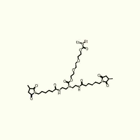 CCN(CC)C(=O)OCCOCCOCCOC(=O)N(CCNC(=O)CCCCCN1C(=O)CC(C)C1=O)CCNC(=O)CCCCCN1C(=O)CC(C)C1=O